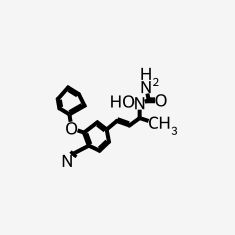 CC(/C=C/c1ccc(C#N)c(Oc2ccccc2)c1)N(O)C(N)=O